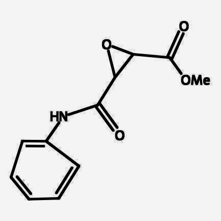 COC(=O)C1OC1C(=O)Nc1ccccc1